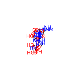 CC[C@H](C)[C@H](NC(=O)[C@H](C)NC(=O)CNC(=O)[C@H](CCCNC(=N)N)NC(=O)[C@@H](NC(=O)[C@@H](NC(=O)[C@@H](NC(=O)CN)[C@@H](C)O)[C@@H](C)O)C(C)C)C(=O)N[C@@H](CC(=O)O)C(=O)N[C@@H](CC(=O)O)C(=O)O